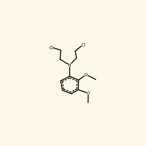 COc1cccc(N(CCCl)CCCl)c1OC